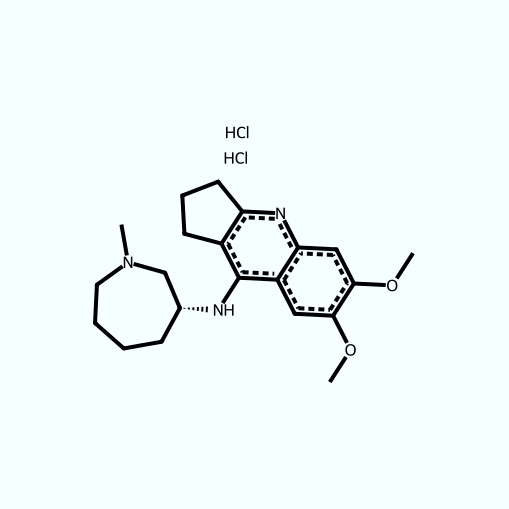 COc1cc2nc3c(c(N[C@@H]4CCCCN(C)C4)c2cc1OC)CCC3.Cl.Cl